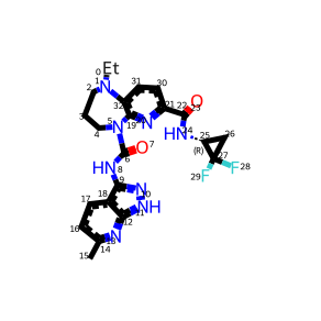 CCN1CCCN(C(=O)Nc2n[nH]c3nc(C)ccc23)c2nc(C(=O)N[C@@H]3CC3(F)F)ccc21